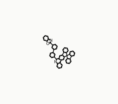 c1cc(-c2cccc(-c3nc4ccccc4c4cc5c(cc34)-c3ccccc3C53c4ccccc4-c4ccccc43)c2)cc(-c2nc3ccccc3o2)c1